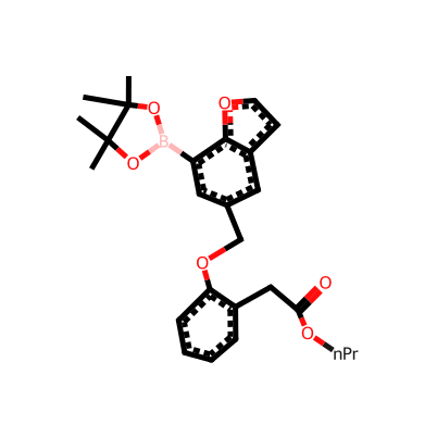 CCCOC(=O)Cc1ccccc1OCc1cc(B2OC(C)(C)C(C)(C)O2)c2occc2c1